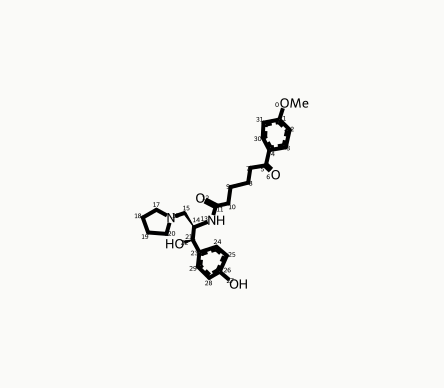 COc1ccc(C(=O)CCCCC(=O)N[C@H](CN2CCCC2)[C@H](O)c2ccc(O)cc2)cc1